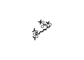 CC(C)OP(=O)(CCCC=C[C@@H]1COC(C)(C)N1C(=O)OC(C)(C)C)OC(C)C